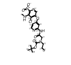 CNc1c([N+](=O)[O-])ncc(Oc2ccnc(NC(=O)CN(CCF)C(=O)OC(C)(C)C)c2)c1Cl